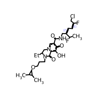 CCC1Cn2cc(C(=O)NC/C(=C/C=C(/F)CCl)C(C)F)c(=O)c(O)c2C(=O)N1CCCOC1C(C)C1C